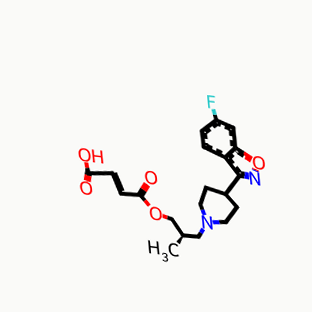 C[C@@H](COC(=O)/C=C/C(=O)O)CN1CCC(c2noc3cc(F)ccc23)CC1